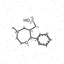 CN1CCOC(c2ccccc2)C(CC(=O)O)C1